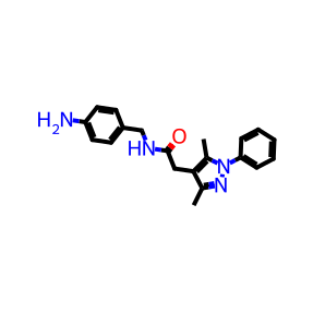 Cc1nn(-c2ccccc2)c(C)c1CC(=O)NCc1ccc(N)cc1